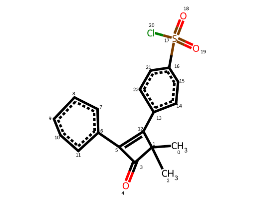 CC1(C)C(=O)C(c2ccccc2)=C1c1ccc(S(=O)(=O)Cl)cc1